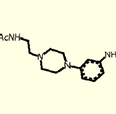 CC(=O)NCCN1CCN(c2cccc(N)c2)CC1